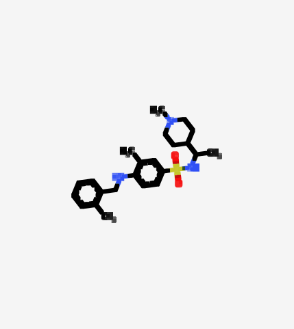 Cc1ccccc1CNc1ccc(S(=O)(=O)NC(C)C2CCN(C)CC2)cc1C